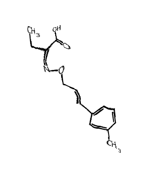 CCC(=NOCC=Cc1cccc(C)c1)C(=O)O